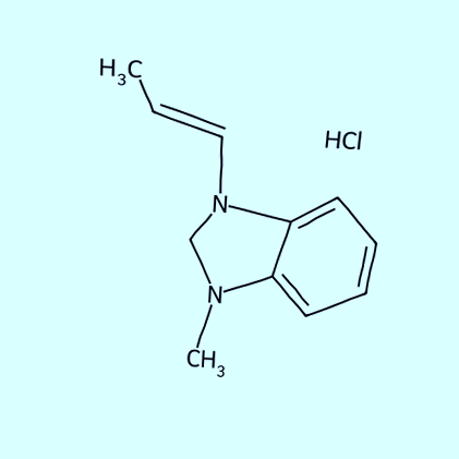 CC=CN1CN(C)c2ccccc21.Cl